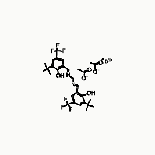 CC(=O)[O-].CC(=O)[O-].CC(C)(C)c1cc(C(F)(F)F)cc(C=NCN=Cc2cc(C(F)(F)F)cc(C(C)(C)C)c2O)c1O.[Co+2]